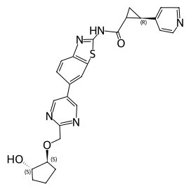 O=C(Nc1nc2ccc(-c3cnc(CO[C@H]4CCC[C@@H]4O)nc3)cc2s1)C1C[C@H]1c1ccncc1